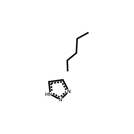 CCCCC.c1c[nH]nn1